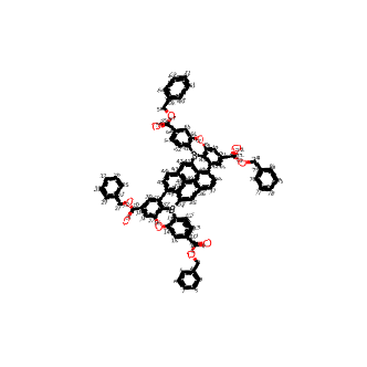 O=C(OCc1ccccc1)c1ccc2c(c1)Oc1cc(C(=O)OCc3ccccc3)cc3c1B2c1cc2ccc4c5c(cc6ccc-3c1c6c25)B1c2ccc(C(=O)OCc3ccccc3)cc2Oc2cc(C(=O)OCc3ccccc3)cc-4c21